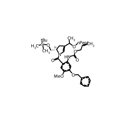 C=CCOC(=O)Nc1cc(OCc2ccccc2)c(OC)cc1C(=O)N1C=C(C(C)OCCCCC)C[C@H]1CO[Si](C)(C)C(C)(C)C